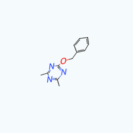 Cc1nc(C)nc(OCc2ccccc2)n1